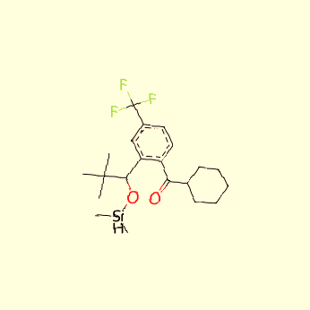 C[SiH](C)OC(c1cc(C(F)(F)F)ccc1C(=O)C1CCCCC1)C(C)(C)C